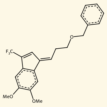 COc1cc2c(cc1OC)/C(=C/CCOCc1ccccc1)C=C2C(F)(F)F